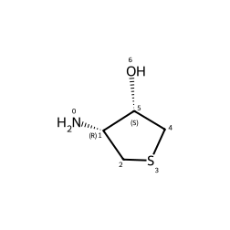 N[C@H]1CSC[C@H]1O